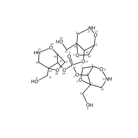 O=P(OC1C2COC1(CO)CNO2)(OC1C2COC1(CO)CNO2)OC1C2COC1(CO)CNO2